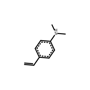 C=Cc1ccc([SiH](C)C)cc1